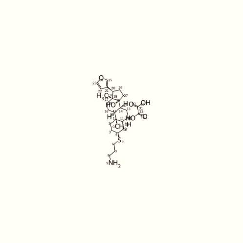 C[C@]12CC[C@H](SCCCN)C[C@@H]1CC[C@@H]1[C@@H]2CC[C@]2(C)[C@@H](c3ccoc3)CC[C@]12O.O=C(O)C(=O)O